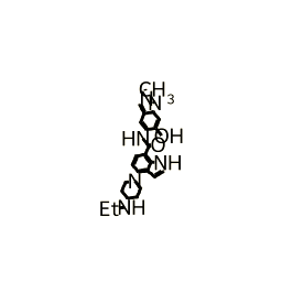 CCNC1CCN(c2ccc(C(=O)Nc3cc4cn(C)nc4cc3O)c3[nH]ccc23)CC1